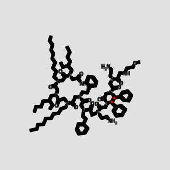 CCCCCCCCCCN(CC(=O)N(CC(=O)N(CCCCCCCCCC)CC(=O)N(CC(N)=O)CC(CC)CCCC)CC(CC)CCCC)C(=O)CN(CCc1ccccc1)C(=O)CN(CCc1ccccc1)C(=O)CN(CCN)C(=O)CN(CCc1ccccc1)C(=O)CN(CCc1ccccc1)C(=O)CN(CCN)C(=O)CNCCOC